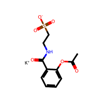 CC(=O)Oc1ccccc1C(=O)NCCS(=O)(=O)[O-].[K+]